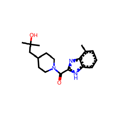 Cc1cccc2[nH]c(C(=O)N3CCC(CC(C)(C)O)CC3)nc12